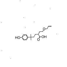 C=CCOCCC(CCC(C)(C)c1ccc(O)cc1)C(=O)O